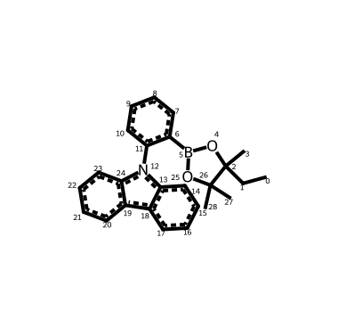 CCC1(C)OB(c2ccccc2-n2c3ccccc3c3ccccc32)OC1(C)C